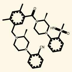 Cc1cc(C)c(C(=O)N2CCN(c3ccccc3S(C)(=N)=O)C[C@@H]2C)cc1CN1CCN(c2ccccc2C#N)C[C@@H]1C